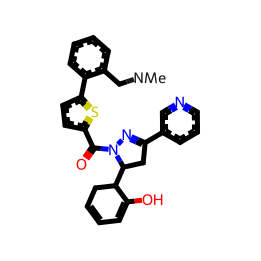 CNCc1ccccc1-c1ccc(C(=O)N2N=C(c3cccnc3)CC2C2CC=CC=C2O)s1